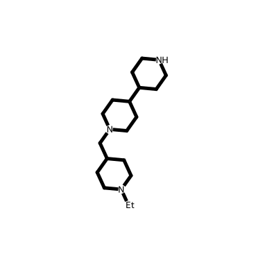 CCN1CCC(CN2CCC(C3CCNCC3)CC2)CC1